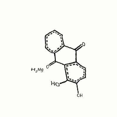 O=C1c2ccccc2C(=O)c2c1ccc(O)c2O.[MgH2]